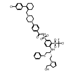 O=C(NS(=O)(=O)c1ccc(N[C@H](CCN2C=CCC2CO)CSc2ccccc2)c(S(=O)(=O)C(F)(F)Cl)c1)c1ccc(N2CCN(CC3=C(c4ccc(Cl)cc4)CCCC3)CC2)cc1